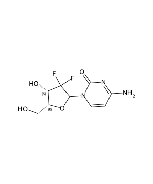 Nc1ccn(C2O[C@H](CO)[C@H](O)C2(F)F)c(=O)n1